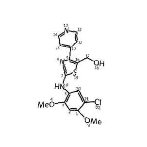 COc1cc(OC)c(Nc2nc(-c3ccncc3)c(CO)s2)cc1Cl